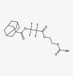 CCC(C)C(=O)OCCOC(=O)C(F)(F)C(F)(F)OC(=O)C12CC3CC(CC(C3)C1)C2